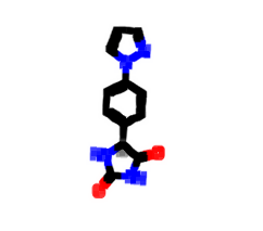 O=C1NC(=O)[C@H](c2ccc(-n3cccn3)cc2)N1